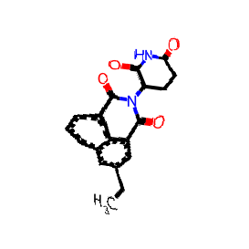 CCc1cc2c3c(cccc3c1)C(=O)N(C1CCC(=O)NC1=O)C2=O